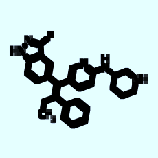 Fc1n[nH]c2ccc(/C(=C(\CC(F)(F)F)c3ccccc3)c3ccc(N[C@@H]4CCCNC4)nc3)cc12